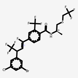 C[C@H](CSCC(F)(F)F)NC(=O)c1ccc(/C(F)=C/C(c2cc(Cl)cc(Br)c2)C(F)(F)F)cc1C(F)(F)F